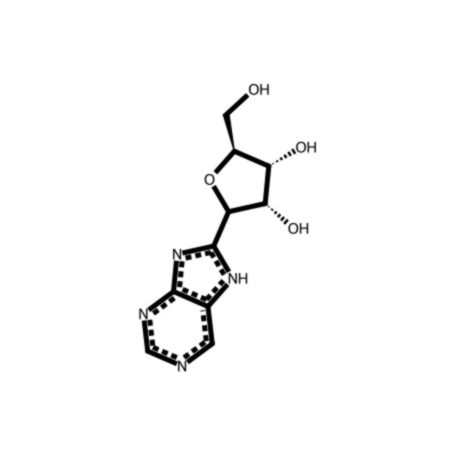 OC[C@@H]1OC(c2nc3ncncc3[nH]2)[C@@H](O)[C@H]1O